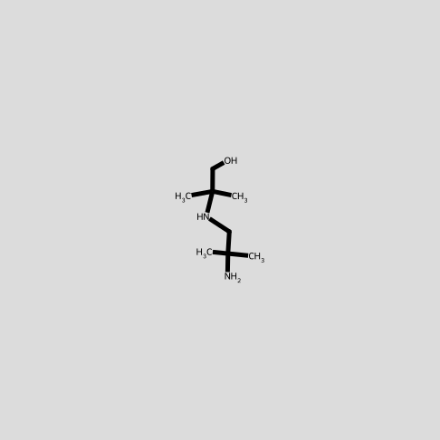 CC(C)(N)CNC(C)(C)CO